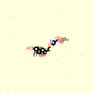 CC[C@H]1[C@@H](O)[C@@H]2[C@H](CC[C@]3(C)[C@@H]([C@H](C)CCOc4ccc(C(=O)NS(=O)(=O)C(C)(C)C)cn4)CC[C@@H]23)[C@@]2(C)CC[C@@H](O)C[C@@H]12